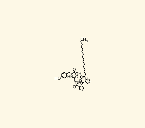 CCCCCCCCCCCCCCCC(=O)N1CCC[C@H]1C(=O)N1CCC[C@H]1C(=O)NCC(=O)N[C@@H](Cc1ccc(O)cc1)C(=O)O